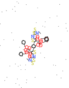 CCN1C(=O)/C(=N\c2cc3c(s2)-c2cc4c(cc2OC3(C(=O)OCc2ccccc2)C(=O)OCc2ccccc2)-c2sc(/N=C3/SC(=S)N(CC)C3=O)cc2C(C(=O)OCc2ccccc2)(C(=O)OCc2ccccc2)O4)SC1=S